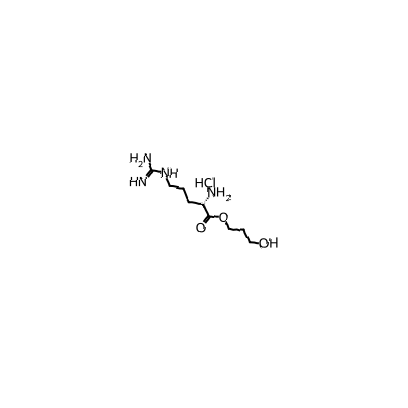 Cl.N=C(N)NCCC[C@H](N)C(=O)OCCCO